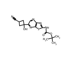 CC(C)(C)OC(=O)Nc1nc2ncc(C3(O)CC(C#N)C3)nc2s1